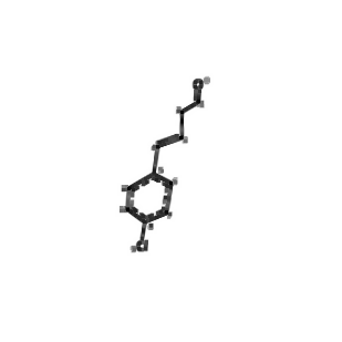 O=[C]CC=Cc1ccc(Cl)cc1